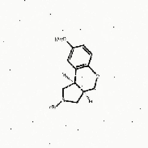 [CH2]CCN1C[C@@H]2COc3ccc(OC)cc3[C@@H]2C1